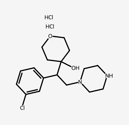 Cl.Cl.OC1(C(CN2CCNCC2)c2cccc(Cl)c2)CCOCC1